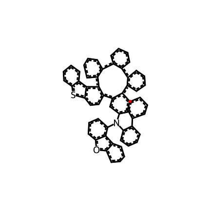 c1ccc(-c2ccccc2N(c2ccc3c4ccccc4c4ccccc4c4ccccc4c4c(ccc5sc6ccccc6c54)c3c2)c2cccc3oc4ccccc4c23)cc1